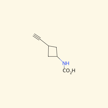 C#CC1CC(NC(=O)O)C1